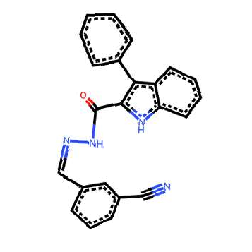 N#Cc1cccc(/C=N\NC(=O)c2[nH]c3ccccc3c2-c2ccccc2)c1